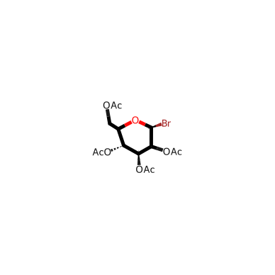 CC(=O)OCC1O[C@@H](Br)C(OC(C)=O)[C@@H](OC(C)=O)[C@@H]1OC(C)=O